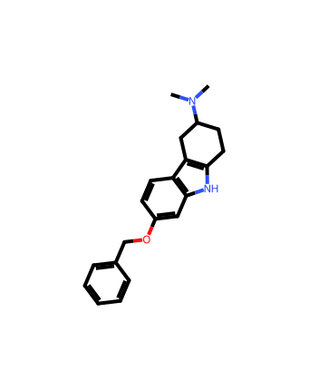 CN(C)C1CCc2[nH]c3cc(OCc4ccccc4)ccc3c2C1